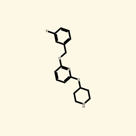 Fc1cccc(COc2cccc(OC3CCNCC3)n2)c1